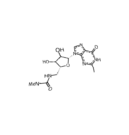 CNC(=O)NC[C@H]1O[C@@H](n2cnc3c(=O)[nH]c(C)nc32)C(O)C1O